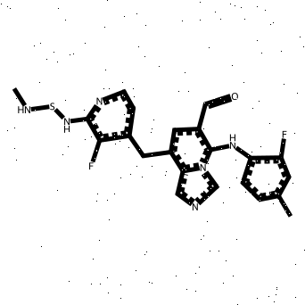 CNSNc1nccc(Cc2cc(C=O)c(Nc3ccc(C)cc3F)n3cncc23)c1F